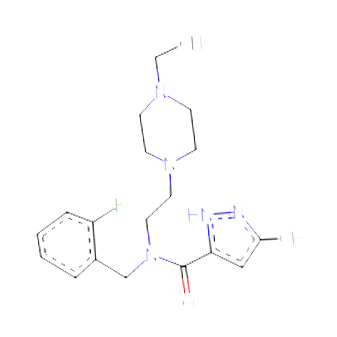 CCN1CCN(CCN(Cc2ccccc2F)C(=O)c2cc(C)n[nH]2)CC1